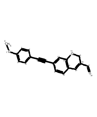 COc1ccc(C#Cc2ccc3c(c2)OCC(C=O)=C3)cc1